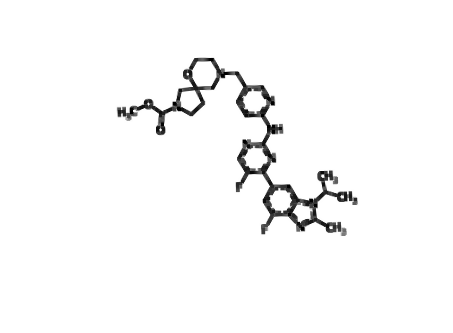 COC(=O)N1CCC2(CN(Cc3ccc(Nc4ncc(F)c(-c5cc(F)c6nc(C)n(C(C)C)c6c5)n4)nc3)CCO2)C1